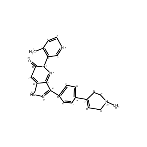 Cc1ccncc1-n1nc2c(-c3ccc(C4=CCN(C)CC4)cc3)n[nH]c2cc1=O